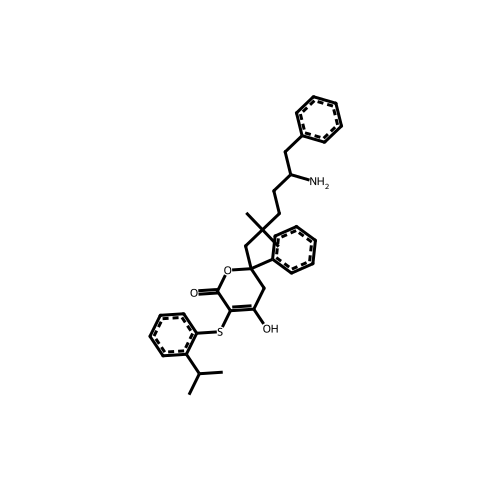 CC(C)c1ccccc1SC1=C(O)CC(CC(C)(C)CCC(N)Cc2ccccc2)(c2ccccc2)OC1=O